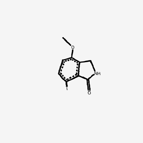 COc1ccc(I)c2c1CNC2=O